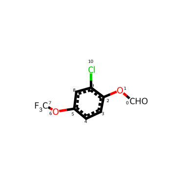 O=COc1ccc(OC(F)(F)F)cc1Cl